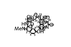 CN[C@@H](Cc1ccc(O)cc1)C(=O)N[C@H](CO)C(=O)NCC(=O)N(C)[C@@H](Cc1ccccc1)C(=O)N[C@H](CO)C(N)=O